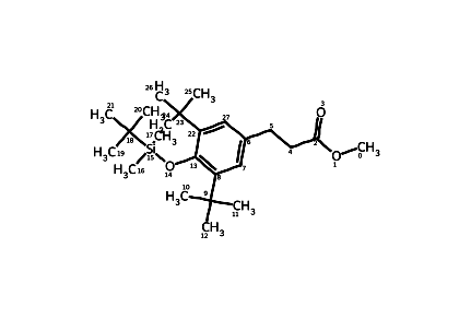 COC(=O)CCc1cc(C(C)(C)C)c(O[Si](C)(C)C(C)(C)C)c(C(C)(C)C)c1